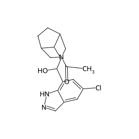 CC(=O)N1CC2CCC(C1)C2CC(O)c1cc(Cl)cc2cn[nH]c12